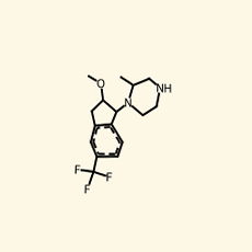 COC1Cc2cc(C(F)(F)F)ccc2C1N1CCNCC1C